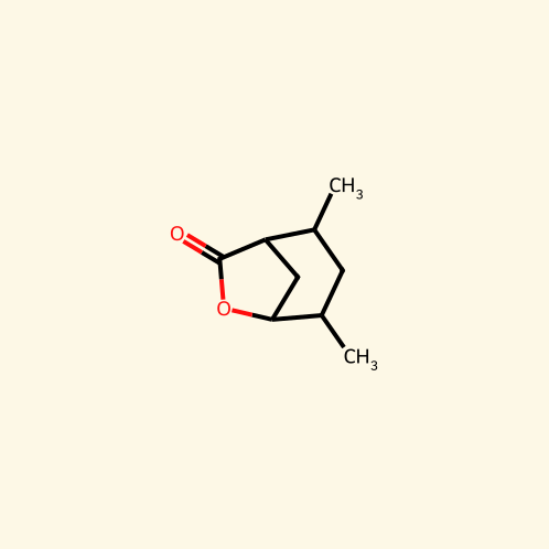 CC1CC(C)C2CC1OC2=O